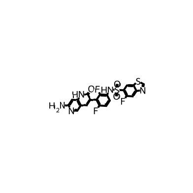 Nc1cc2[nH]c(=O)c(-c3c(F)ccc(NS(=O)(=O)c4cc5scnc5cc4F)c3F)cc2cn1